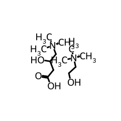 C[N+](C)(C)CC(O)CC(=O)O.C[N+](C)(C)CCO